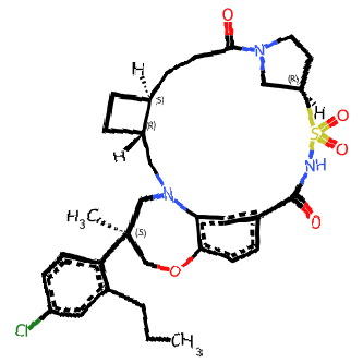 CCCc1cc(Cl)ccc1[C@]1(C)COc2ccc3cc2N(C[C@@H]2CC[C@H]2CCC(=O)N2CC[C@H](C2)S(=O)(=O)NC3=O)C1